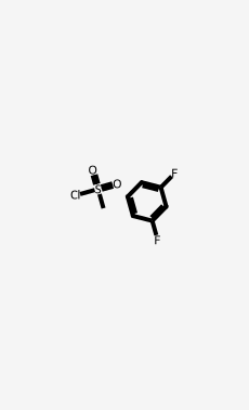 CS(=O)(=O)Cl.Fc1cccc(F)c1